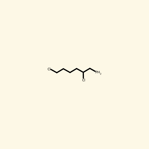 PCC(Cl)CCCCCl